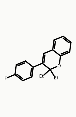 CCC1(CC)Oc2ccccc2C=C1c1ccc(F)cc1